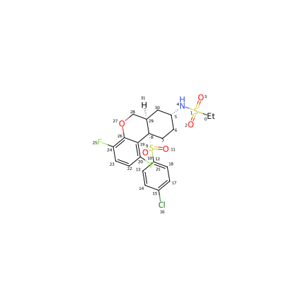 CCS(=O)(=O)N[C@@H]1CC[C@@]2(S(=O)(=O)c3ccc(Cl)cc3)c3c(F)ccc(F)c3OC[C@H]2C1